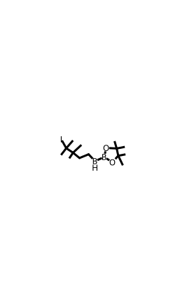 CC(C)(I)C(C)(C)CCBB1OC(C)(C)C(C)(C)O1